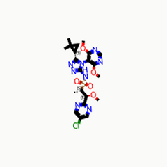 COc1ncnc(OC)c1-n1c(NS(=O)(=O)[C@@H](C)[C@H](OC)c2ncc(Cl)cn2)nnc1[C@H]1CC1(C)C